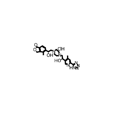 Cc1cc(-c2nnn[nH]2)ncc1[C@@H](O)CN1CCN(C[C@H](O)c2ccc3c(c2C)COC3=O)CC1.Cl